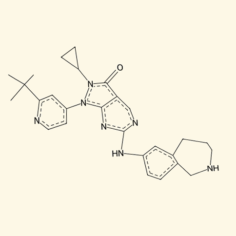 CC(C)(C)c1cc(-n2c3nc(Nc4ccc5c(c4)CCCNC5)ncc3c(=O)n2C2CC2)ccn1